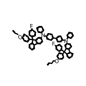 C=CCCOc1ccc(C2(c3ccc(F)cc3)c3ccccc3-c3ccc(N(c4ccccc4)c4ccc(-c5ccc(N(c6ccccc6)c6ccc7c(c6)C(c6ccc(F)cc6)(c6ccc(OCC=C)cc6)c6ccccc6-7)cc5)cc4)cc32)cc1